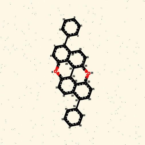 c1ccc(-c2ccc3oc4ccc5c(-c6ccccc6)ccc6oc7ccc2c3c7-c4c65)cc1